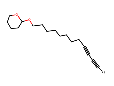 CCC#CC#CCCCCCCCCOC1CCCCO1